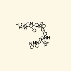 C=C1NN=C2c3cc(-c4ccccc4)c(-c4ccc(C5(NC(=O)OCc6ccc(NC(=O)[C@@H]7CC(F)(F)CN7C(=O)CNC(=O)c7ccnc8ccccc78)cc6)CCC5)cc4)nc3C=CN12